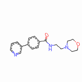 O=C(NCCN1CCOCC1)c1ccc(-c2cccnc2)cc1